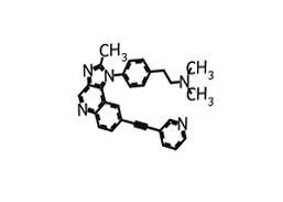 Cc1nc2cnc3ccc(C#Cc4cccnc4)cc3c2n1-c1ccc(CCN(C)C)cc1